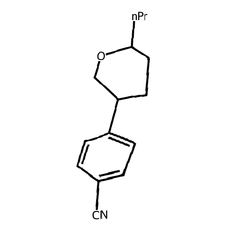 CCCC1CCC(c2ccc(C#N)cc2)CO1